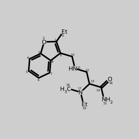 CCc1oc2ccccc2c1CNCC(C(N)=O)N(C)CC